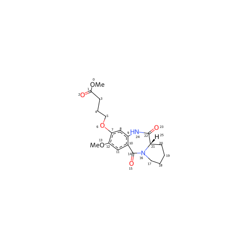 COC(=O)CCCOc1cc2c(cc1OC)C(=O)N1CCCC[C@H]1C(=O)N2